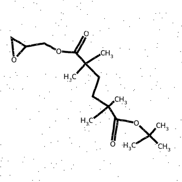 CC(C)(C)OC(=O)C(C)(C)CCC(C)(C)C(=O)OCC1CO1